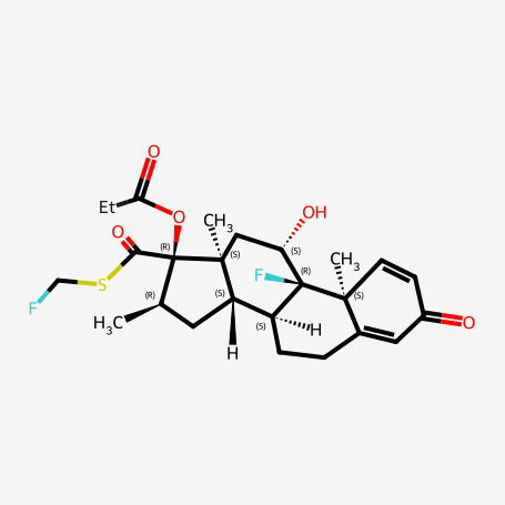 CCC(=O)O[C@]1(C(=O)SCF)[C@H](C)C[C@H]2[C@@H]3CCC4=CC(=O)C=C[C@]4(C)[C@@]3(F)[C@@H](O)C[C@@]21C